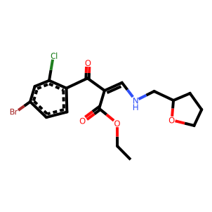 CCOC(=O)C(=CNCC1CCCO1)C(=O)c1ccc(Br)cc1Cl